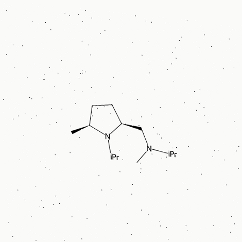 CC(C)N(C)C[C@@H]1CC[C@H](C)N1C(C)C